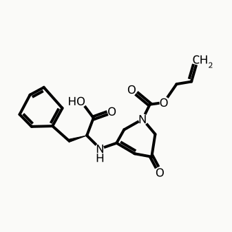 C=CCOC(=O)N1CC(=O)C=C(N[C@@H](Cc2ccccc2)C(=O)O)C1